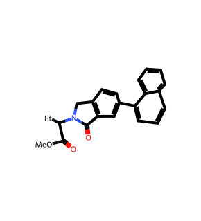 CCC(C(=O)OC)N1Cc2ccc(-c3cccc4ccccc34)cc2C1=O